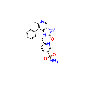 Cc1ncc2[nH]c(=O)n(Cc3ccc(S(N)(=O)=O)cn3)c2c1-c1ccccc1